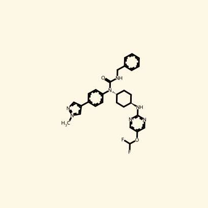 Cn1cc(-c2ccc(N(C(=O)NCc3ccccc3)[C@H]3CC[C@H](Nc4ncc(OC(F)F)cn4)CC3)cc2)cn1